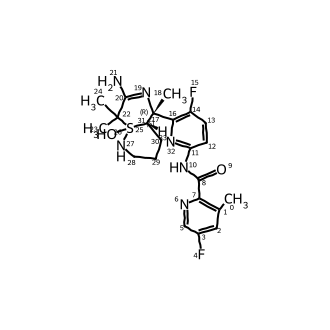 Cc1cc(F)cnc1C(=O)Nc1ccc(F)c([C@@]2(C)N=C(N)C(C)(C)S3(O)NCCC[C@@H]23)n1